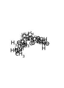 COc1nc(-c2cccc(-c3cccc(-c4cc(C)n5c(=O)c(CNCC(C)O)cnc5c4)c3Cl)c2Cl)ccc1CN(C[C@@H]1CCC(=O)N1)C(=O)O